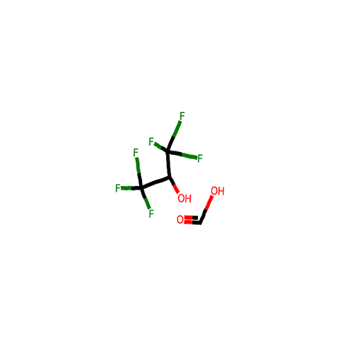 O=CO.OC(C(F)(F)F)C(F)(F)F